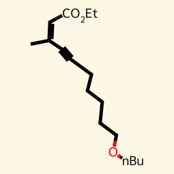 CCCCOCCCCCC#C/C(C)=C\C(=O)OCC